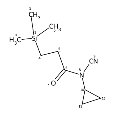 C[Si](C)(C)C[CH]C(=O)N(C#N)C1CC1